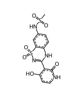 CS(=O)(=O)Nc1ccc2c(c1)S(=O)(=O)N=C(c1c(O)cc[nH]c1=O)N2